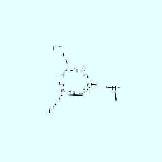 CNc1cc(N)nc(O)n1